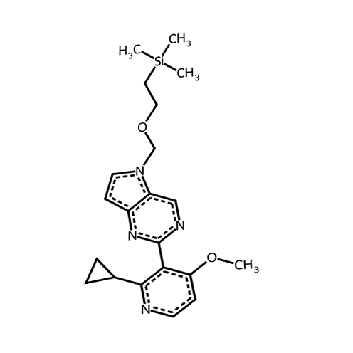 COc1ccnc(C2CC2)c1-c1ncc2c(ccn2COCC[Si](C)(C)C)n1